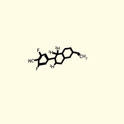 [2H]C1CC2CC(C=C)CCC2C([2H])([2H])C1c1cc(F)c(C#N)c(F)c1